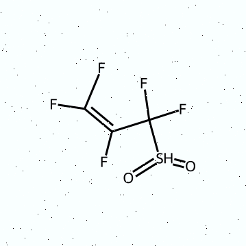 O=[SH](=O)C(F)(F)C(F)=C(F)F